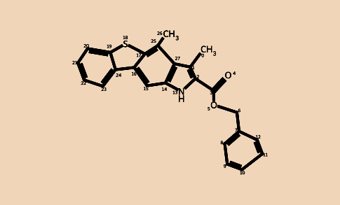 Cc1c(C(=O)OCc2ccccc2)[nH]c2cc3c(sc4ccccc43)c(C)c12